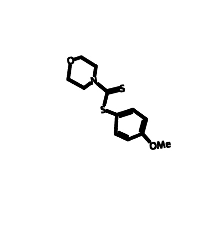 COc1ccc(SC(=S)N2CCOCC2)cc1